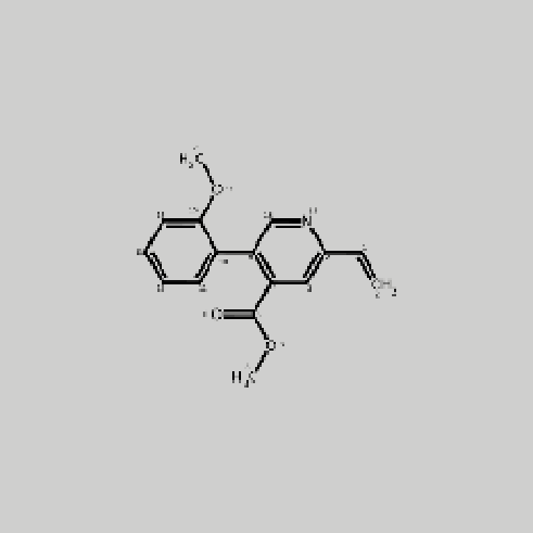 C=Cc1cc(C(=O)OC)c(-c2ccccc2OC)cn1